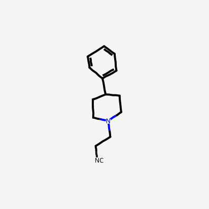 [C-]#[N+]CCN1CCC(c2ccccc2)CC1